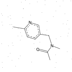 CC(=O)N(C)Cc1ccc(C)nc1